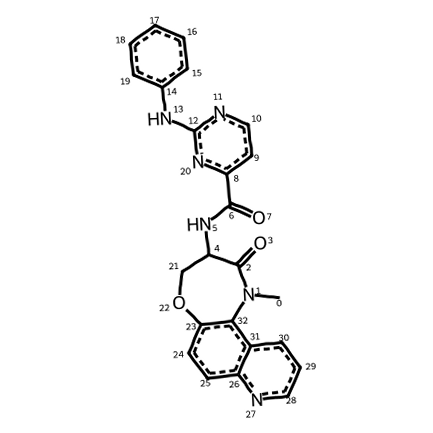 CN1C(=O)C(NC(=O)c2ccnc(Nc3ccccc3)n2)COc2ccc3ncccc3c21